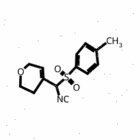 [C-]#[N+]C(C1=CCOCC1)S(=O)(=O)c1ccc(C)cc1